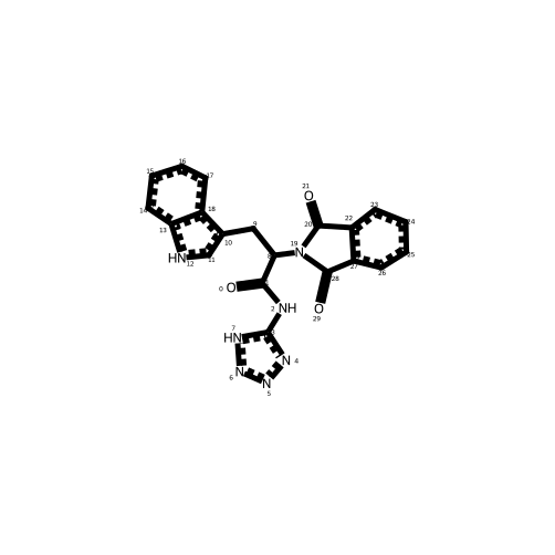 O=C(Nc1nnn[nH]1)C(Cc1c[nH]c2ccccc12)N1C(=O)c2ccccc2C1=O